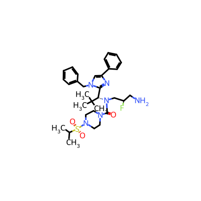 CC(C)S(=O)(=O)N1CCN(C(=O)N(C[C@H](F)CN)[C@@H](c2nc(-c3ccccc3)cn2Cc2ccccc2)C(C)(C)C)CC1